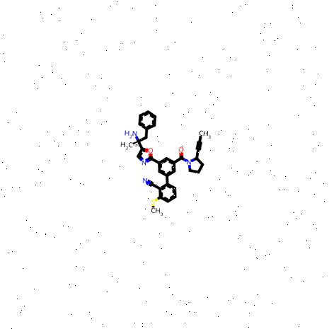 CC#CC1CCCN1C(=O)c1cc(-c2ncc([C@](C)(N)Cc3ccccc3)o2)cc(-c2cccc(SC)c2C#N)c1